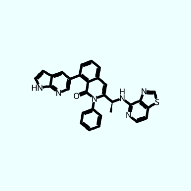 C[C@H](Nc1nccc2scnc12)c1cc2cccc(-c3cnc4[nH]ccc4c3)c2c(=O)n1-c1ccccc1